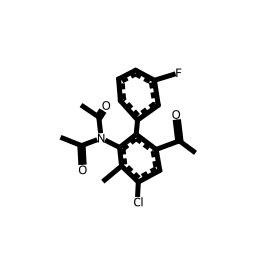 CC(=O)c1cc(Cl)c(C)c(N(C(C)=O)C(C)=O)c1-c1cccc(F)c1